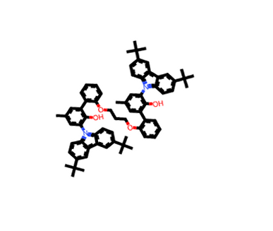 Cc1cc(-c2ccccc2OCCCOc2ccccc2-c2cc(C)cc(-n3c4ccc(C(C)(C)C)cc4c4cc(C(C)(C)C)ccc43)c2O)c(O)c(-n2c3ccc(C(C)(C)C)cc3c3cc(C(C)(C)C)ccc32)c1